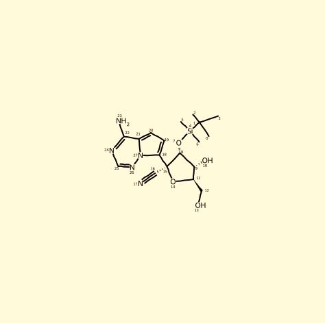 CC(C)(C)[Si](C)(C)O[C@@H]1[C@H](O)[C@@H](CO)O[C@@]1(C#N)c1ccc2c(N)ncnn12